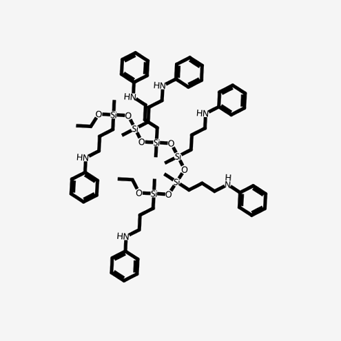 CCO[Si](C)(CCCNc1ccccc1)O[Si](C)(CCCNc1ccccc1)O[Si](C)(CCCNc1ccccc1)O[Si](C)(CCCNc1ccccc1)O[Si](C)(CCCNc1ccccc1)O[Si](C)(CCCNc1ccccc1)OCC